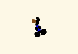 CCC(Br)CCN1CCN(C(c2ccccc2)c2ccccc2)CC1